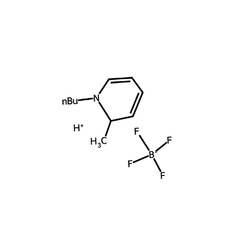 CCCCN1C=CC=CC1C.F[B-](F)(F)F.[H+]